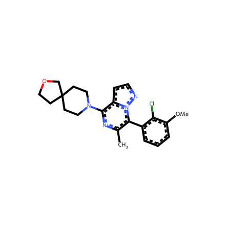 COc1cccc(-c2c(C)nc(N3CCC4(CCOC4)CC3)c3ccnn23)c1Cl